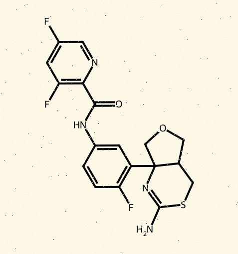 NC1=NC2(c3cc(NC(=O)c4ncc(F)cc4F)ccc3F)COCC2CS1